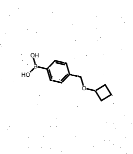 OB(O)c1ccc(COC2CCC2)cc1